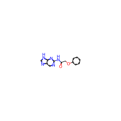 O=C(COc1ccccc1)Nc1ncc2nc[nH]c2n1